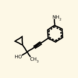 CC(O)(C#Cc1cccc(N)c1)C1CC1